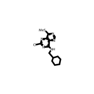 CSc1ncnc2c(NCC3CCCCC3)nc(Cl)nc12